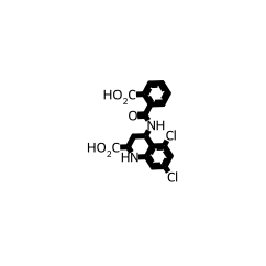 O=C(O)c1ccccc1C(=O)NC1CC(C(=O)O)Nc2cc(Cl)cc(Cl)c21